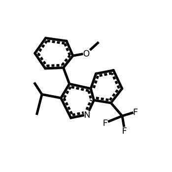 COc1ccccc1-c1c(C(C)C)cnc2c(C(F)(F)F)cccc12